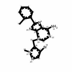 Cc1ccccc1-c1nc2c(N)ncn(Cc3c(Br)cnn3C)c-2n1